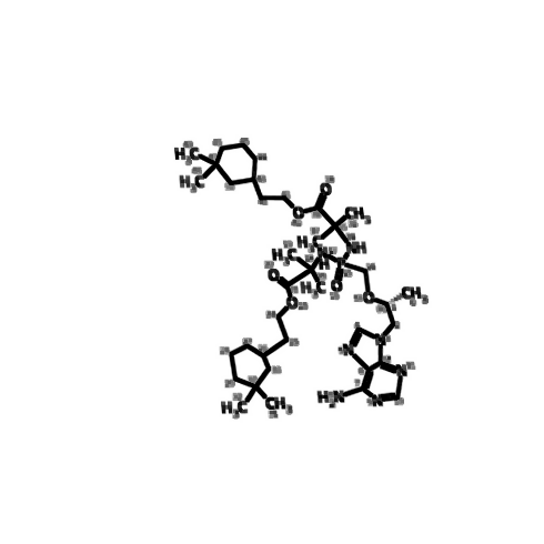 C[C@H](Cn1cnc2c(N)ncnc21)OCP(=O)(NC(C)(C)C(=O)OCCC1CCCC(C)(C)C1)NC(C)(C)C(=O)OCCC1CCCC(C)(C)C1